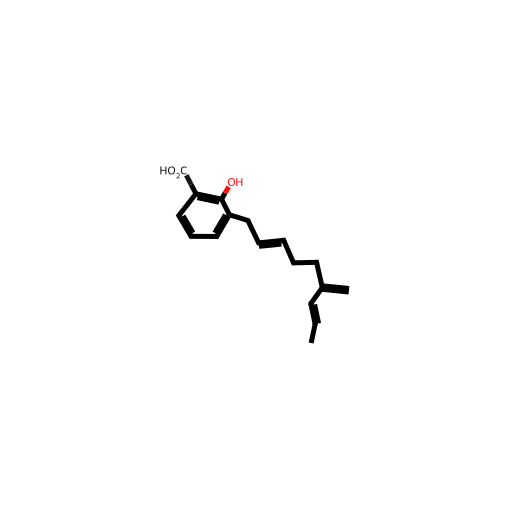 C=C(C=CC)CCC=CCc1cccc(C(=O)O)c1O